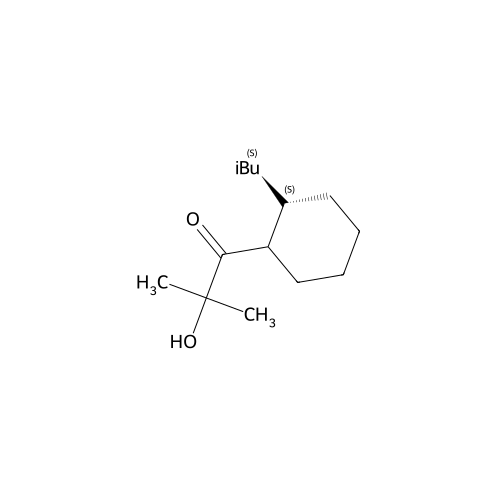 CC[C@H](C)[C@@H]1CCCCC1C(=O)C(C)(C)O